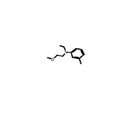 CCN(CCOC)c1cc[c]c(C)c1